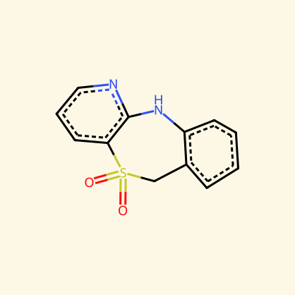 O=S1(=O)Cc2ccccc2Nc2ncccc21